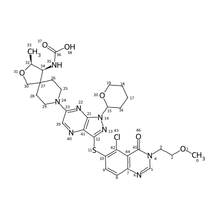 COCCn1cnc2ccc(Sc3nn(C4CCCCO4)c4nc(N5CCC6(CC5)CO[C@@H](C)[C@H]6NC(=O)O)cnc34)c(Cl)c2c1=O